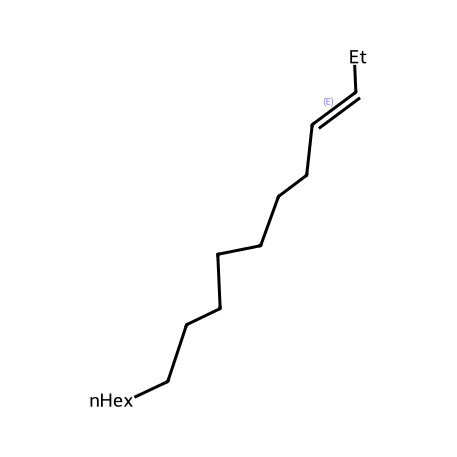 [CH2]CCCCCCCCCCCC/C=C/CC